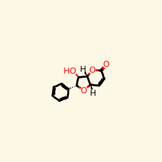 O=C1C=C[C@@H]2O[C@H](c3ccccc3)[C@@H](O)[C@@H]2O1